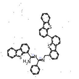 N/C(=N\C(=N/Cc1cccc2c1sc1c(-c3cccc4c3sc3ccccc34)cccc12)c1ccccc1)c1cccc2c1sc1ccccc12